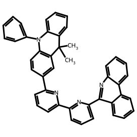 CC1(C)c2ccccc2N(c2ccccc2)c2ccc(-c3cccc(-c4cccc(-c5nc6ccccc6c6ccccc56)n4)n3)cc21